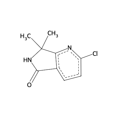 CC1(C)NC(=O)c2ccc(Cl)nc21